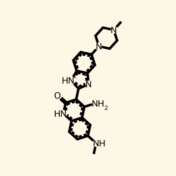 CNc1ccc2[nH]c(=O)c(-c3nc4cc(N5CCN(C)CC5)ccc4[nH]3)c(N)c2c1